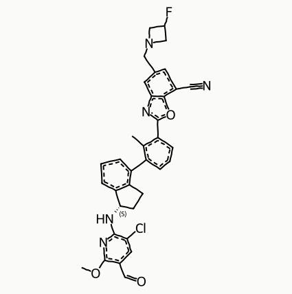 COc1nc(N[C@H]2CCc3c(-c4cccc(-c5nc6cc(CN7CC(F)C7)cc(C#N)c6o5)c4C)cccc32)c(Cl)cc1C=O